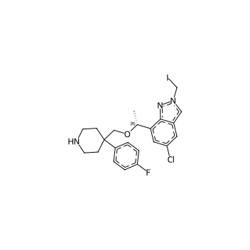 C[C@@H](OCC1(c2ccc(F)cc2)CCNCC1)c1cc(Cl)cc2cn(CI)nc12